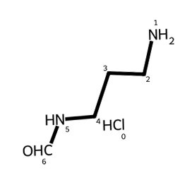 Cl.NCCCNC=O